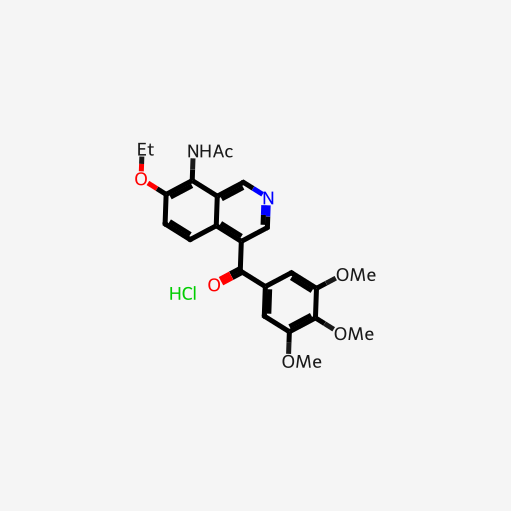 CCOc1ccc2c(C(=O)c3cc(OC)c(OC)c(OC)c3)cncc2c1NC(C)=O.Cl